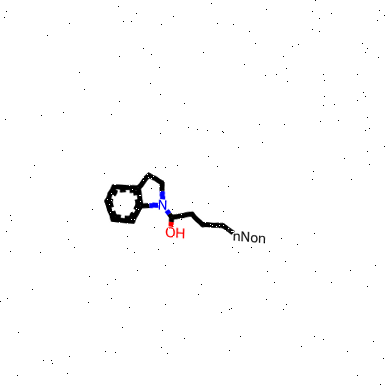 CCCCCCCCCCCCC(O)N1CCc2ccccc21